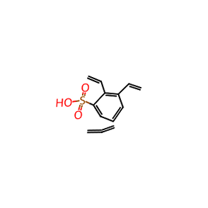 C=C=C.C=Cc1cccc(S(=O)(=O)O)c1C=C